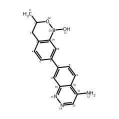 CC1Cc2ccc(-c3ccc4c(N)cnnc4c3)cc2B(O)O1